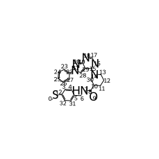 CSc1ccc(CNC(=O)C2CCCN(c3ncnc4nn(-c5ccccc5)cc34)C2)cc1